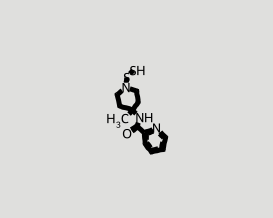 CC1(NC(=O)c2ccccn2)CCN(SS)CC1